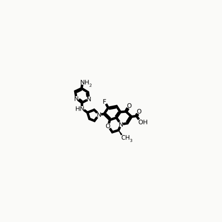 C[C@H]1COc2c(N3CCC(Nc4ncc(N)cn4)C3)c(F)cc3c(=O)c(C(=O)O)cn1c23